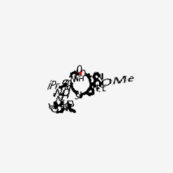 C=CC(=O)N1CCO[C@H]2CN(C(=O)N(C)[C@H](C(=O)N[C@H]3Cc4nc(cs4)-c4ccc5c(c4)c(c(-c4cccnc4[C@H](C)OC)n5CC)CC(C)(C)COC(=O)[C@@H]4CCCN(N4)C3=O)C(C)C)C[C@@H]21